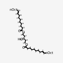 CCCCCCCCC=CCCCCCCCC(=O)OCCN(O)CCOC(=O)CCCCCCCC=CCCCCCCCC